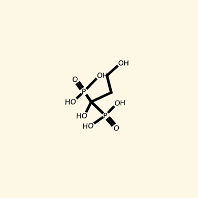 O=P(O)(O)C(O)(CCO)P(=O)(O)O